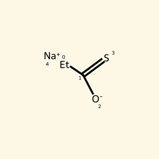 CCC([O-])=S.[Na+]